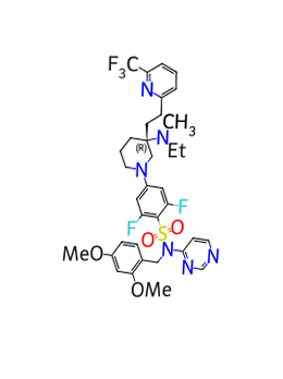 CCN(C)[C@@]1(CCc2cccc(C(F)(F)F)n2)CCCN(c2cc(F)c(S(=O)(=O)N(Cc3ccc(OC)cc3OC)c3ccncn3)c(F)c2)C1